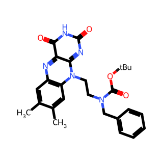 Cc1cc2nc3c(=O)[nH]c(=O)nc-3n(CCN(Cc3ccccc3)C(=O)OC(C)(C)C)c2cc1C